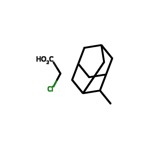 CC1C2CC3CC(C2)CC1C3.O=C(O)CCl